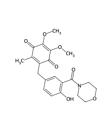 COC1=C(OC)C(=O)C(Cc2ccc(O)c(C(=O)N3CCOCC3)c2)=C(C)C1=O